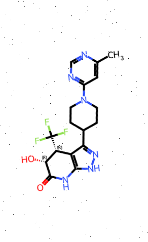 Cc1cc(N2CCC(c3n[nH]c4c3[C@@H](C(F)(F)F)[C@@H](O)C(=O)N4)CC2)ncn1